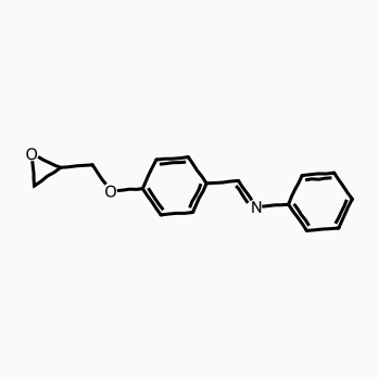 C(=Nc1ccccc1)c1ccc(OCC2CO2)cc1